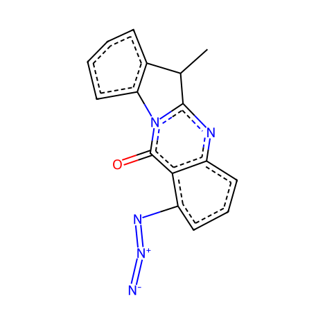 CC1c2ccccc2-n2c1nc1cccc(N=[N+]=[N-])c1c2=O